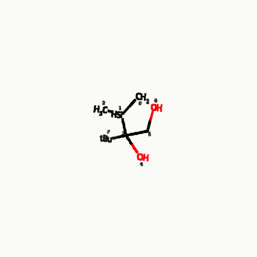 C[SiH](C)C(O)(CO)C(C)(C)C